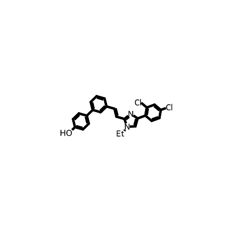 CCn1cc(-c2ccc(Cl)cc2Cl)nc1C=Cc1cccc(-c2ccc(O)cc2)c1